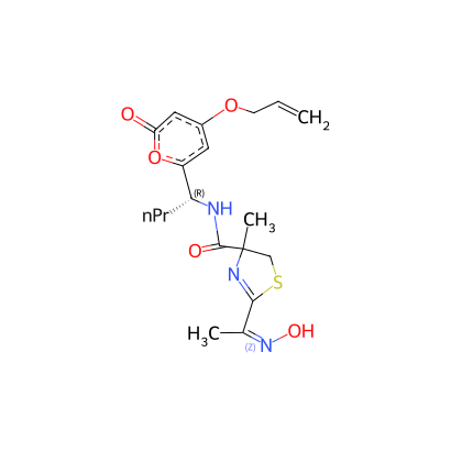 C=CCOc1cc([C@@H](CCC)NC(=O)C2(C)CSC(/C(C)=N\O)=N2)oc(=O)c1